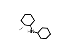 C[C@@H]1CCCC[C@H]1NC1CCCCC1